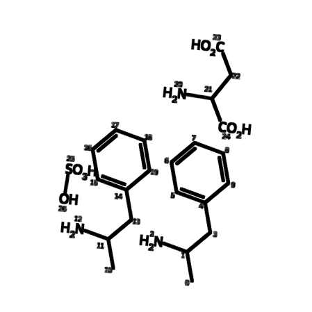 CC(N)Cc1ccccc1.CC(N)Cc1ccccc1.NC(CC(=O)O)C(=O)O.O=S(=O)(O)O